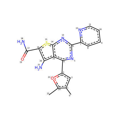 Cc1cc(-c2nc(-c3ccccn3)nc3sc(C(N)=O)c(N)c23)oc1C